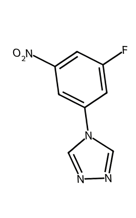 O=[N+]([O-])c1cc(F)cc(-n2cnnc2)c1